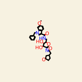 COc1ccc2c(C(=O)NCC3Oc4oc(CC5CCC(=O)C5)nc4C(O)C3O)cn(Cc3ccccc3)c2c1